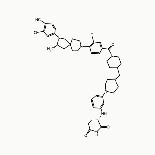 C[C@@H]1CC2(CCN(c3ccc(C(=O)N4CCC(CN5CCN(c6cccc(N[C@H]7CCC(=O)NC7=O)c6)CC5)CC4)cc3F)CC2)CN1c1ccc(C#N)c(Cl)c1